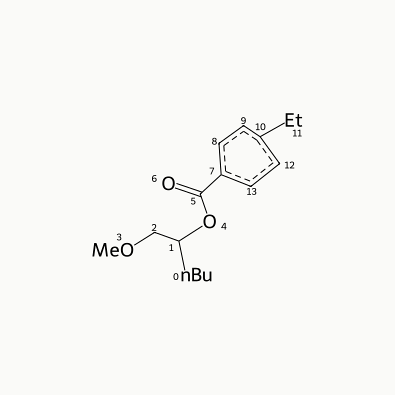 CCCCC(COC)OC(=O)c1ccc(CC)cc1